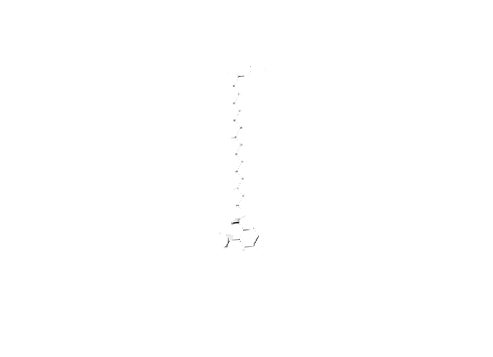 CCC(C)CCCCCCCCCCCCCCCOC(=O)C1CC=CCC1C(=O)O